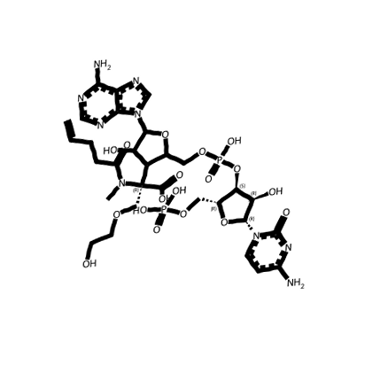 C=CCCC(=O)N(C)[C@](COCCO)(C(=O)O)C1C(COP(=O)(O)O[C@H]2[C@@H](O)[C@H](n3ccc(N)nc3=O)O[C@@H]2COP(=O)(O)O)OC(n2cnc3c(N)ncnc32)C1O